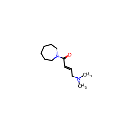 CN(C)C/C=C/C(=O)N1CCCCCC1